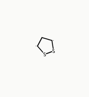 [CH]1C[CH]SS1